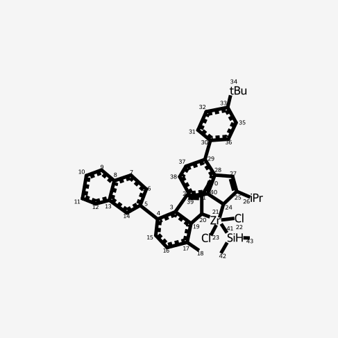 CC1=Cc2c(-c3ccc4ccccc4c3)ccc(C)c2[CH]1[Zr]([Cl])([Cl])([CH]1C(C(C)C)=Cc2c(-c3ccc(C(C)(C)C)cc3)cccc21)[SiH](C)C